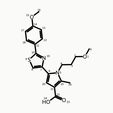 COCCCn1c(-c2csc(-c3ccc(OC)cc3)n2)cc(C(=O)O)c1C